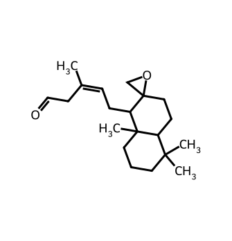 C/C(=C/CC1C2(CCC3C(C)(C)CCCC31C)CO2)CC=O